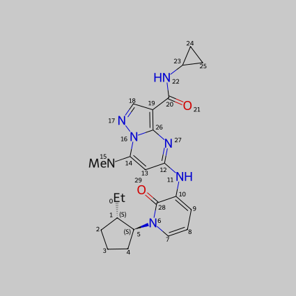 CC[C@H]1CCC[C@@H]1n1cccc(Nc2cc(NC)n3ncc(C(=O)NC4CC4)c3n2)c1=O